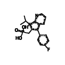 CC(C)n1c(CP(=O)(O)O)c(-c2ccc(F)cc2)c2cccnc21